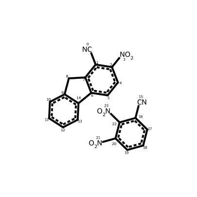 N#Cc1c([N+](=O)[O-])ccc2c1Cc1ccccc1-2.N#Cc1cccc([N+](=O)[O-])c1[N+](=O)[O-]